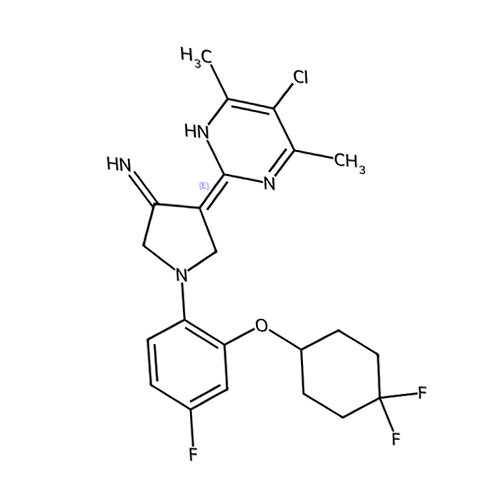 CC1=N/C(=C2\CN(c3ccc(F)cc3OC3CCC(F)(F)CC3)CC2=N)NC(C)=C1Cl